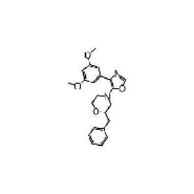 COc1cc(OC)cc(-c2ncoc2N2CCOC(Cc3ccccc3)C2)c1